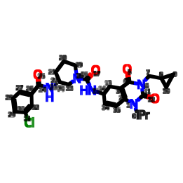 CC(C)n1c2c(c(=O)n(CC3CC3)c1=O)CC(NC(=O)N1CCC[C@@H](NC(=O)c3cccc(Cl)c3)C1)C=C2